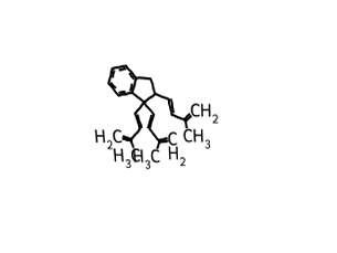 C=C(C)C=CC1Cc2ccccc2C1(C=CC(=C)C)C=CC(=C)C